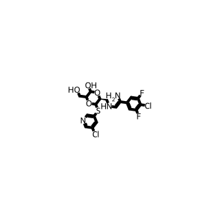 N/C(=C\NC[C@@H]1OC(O)C(CO)OC1Sc1cncc(Cl)c1)c1cc(F)c(Cl)c(F)c1